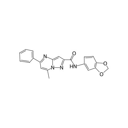 Cc1cc(-c2ccccc2)nc2cc(C(=O)Nc3ccc4c(c3)OCO4)nn12